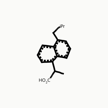 CC(C)Cc1cccc2c(C(C)C(=O)O)cccc12